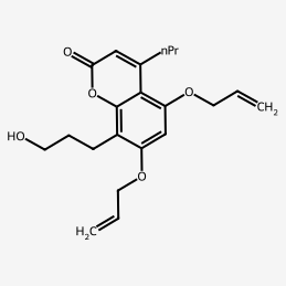 C=CCOc1cc(OCC=C)c2c(CCC)cc(=O)oc2c1CCCO